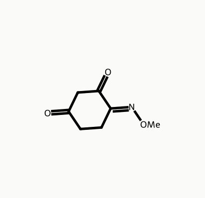 CON=C1CCC(=O)CC1=O